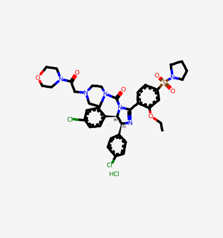 CCOc1cc(S(=O)(=O)N2CCCC2)ccc1C1=N[C@@H](c2ccc(Cl)cc2)[C@@H](c2ccc(Cl)cc2)N1C(=O)N1CCN(CC(=O)N2CCOCC2)CC1.Cl